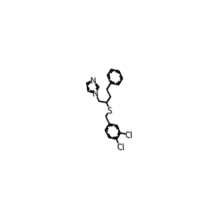 Clc1ccc(CSC(CCc2ccccc2)Cn2ccnc2)cc1Cl